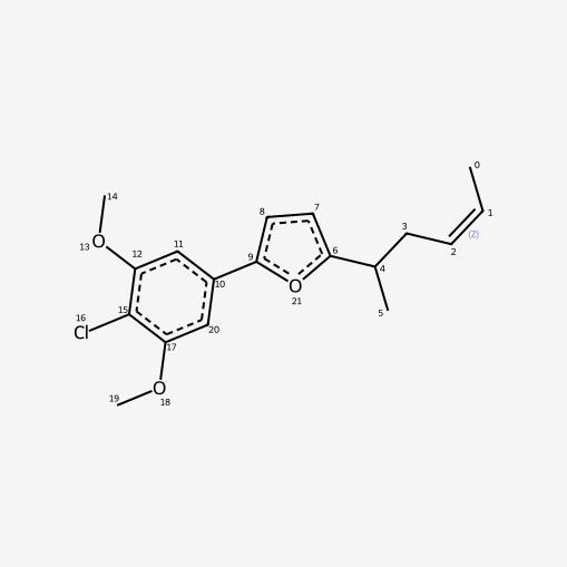 C/C=C\CC(C)c1ccc(-c2cc(OC)c(Cl)c(OC)c2)o1